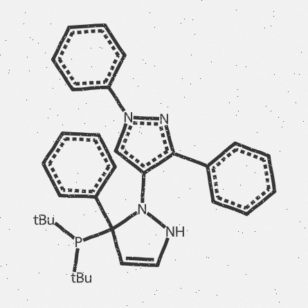 CC(C)(C)P(C(C)(C)C)C1(c2ccccc2)C=CNN1c1cn(-c2ccccc2)nc1-c1ccccc1